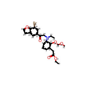 CCOC(=O)Cc1cccc(N(CC)CC(=O)c2cc(Br)c3occc3c2)c1OCOC